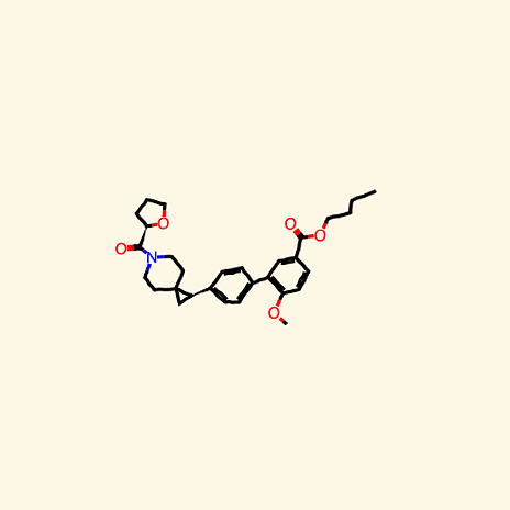 CCCCOC(=O)c1ccc(OC)c(-c2ccc([C@H]3CC34CCN(C(=O)[C@H]3CCCO3)CC4)cc2)c1